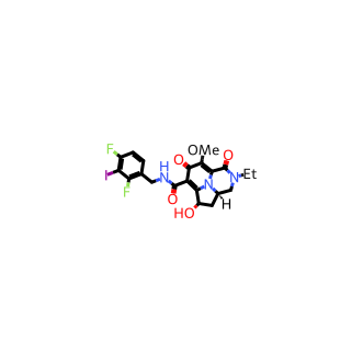 CCN1C[C@H]2CC(O)c3c(C(=O)NCc4ccc(F)c(I)c4F)c(=O)c(OC)c(n32)C1=O